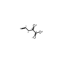 C=CCC(=O)C([O])=O